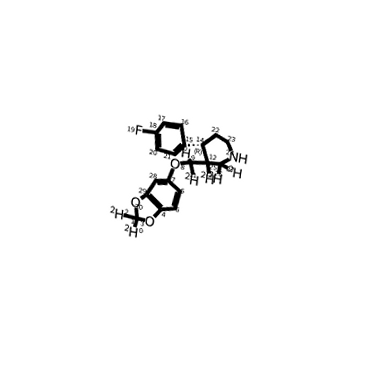 [2H]C1([2H])Oc2ccc(OC([2H])([2H])C3([2H])[C@H](c4ccc(F)cc4)CCNC3([2H])[2H])cc2O1